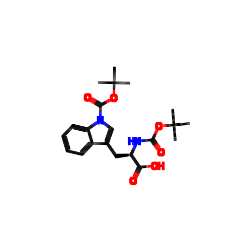 CC(C)(C)OC(=O)N[C@H](Cc1cn(C(=O)OC(C)(C)C)c2ccccc12)C(=O)O